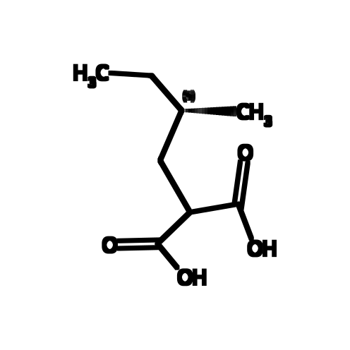 CC[C@H](C)CC(C(=O)O)C(=O)O